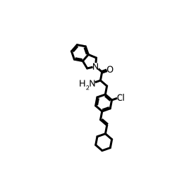 NC(Cc1ccc(/C=C/C2CCCCC2)cc1Cl)C(=O)N1Cc2ccccc2C1